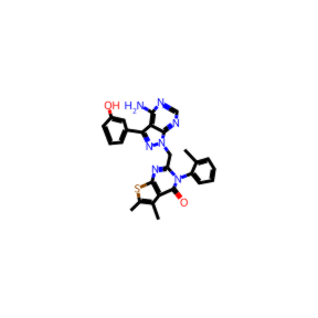 Cc1ccccc1-n1c(Cn2nc(-c3cccc(O)c3)c3c(N)ncnc32)nc2sc(C)c(C)c2c1=O